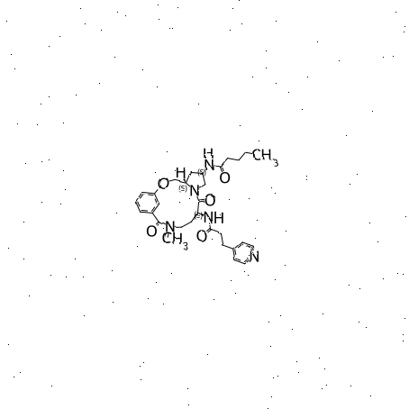 CCCCC(=O)N[C@H]1C[C@H]2COc3cccc(c3)C(=O)N(C)CC[C@H](NC(=O)CCc3ccncc3)C(=O)N2C1